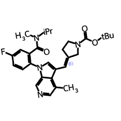 Cc1cncc2c1c(/C=C1\CCN(C(=O)OC(C)(C)C)C1)cn2-c1ccc(F)cc1C(=O)N(C)C(C)C